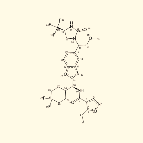 CCc1oncc1C(=O)N[C@H](c1nc2cc([C@@H](COC)N3C[C@@H](C(F)(F)F)NC3=O)ccc2o1)C1CCC(F)(F)CC1